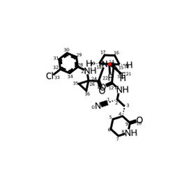 N#C[C@@H](C[C@H]1CCCNC1=O)NC(=O)[C@H]1[C@@H]2CC[C@@H](CC2(F)F)N1C(=O)C1(Nc2cccc(Cl)c2)CC1